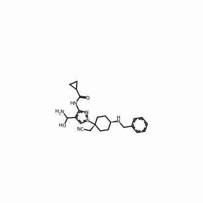 N#CC[C@]1(n2cc(C(N)O)c(NC(=O)C3CC3)n2)CC[C@H](NCc2ccccc2)CC1